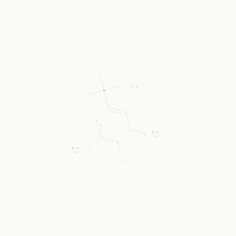 CCCCCCC(C)(C)c1cc(OC)c(Br)c(OC)c1